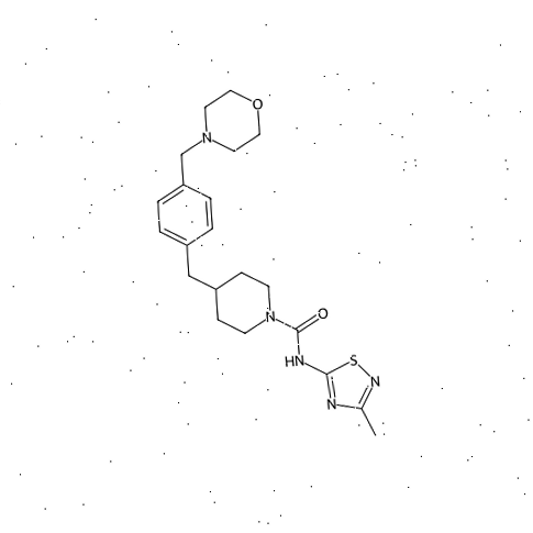 Cc1nsc(NC(=O)N2CCC(Cc3ccc(CN4CCOCC4)cc3)CC2)n1